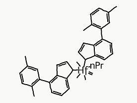 [CH2]=[Hf]([CH3])([CH3])([CH3])([CH2]CC)([CH]1C=Cc2c(-c3cc(C)ccc3C)cccc21)[CH]1C=Cc2c(-c3cc(C)ccc3C)cccc21